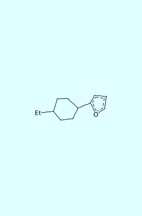 CCC1CCC(c2ccco2)CC1